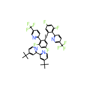 CC(C)(C)c1ccnc(-c2cc(C(C)(C)C)ccn2)c1.Fc1cc(F)c(-c2ccc(C(F)(F)F)cn2)[c]([Ir][c]2cc(F)cc(F)c2-c2ccc(C(F)(F)F)cn2)c1